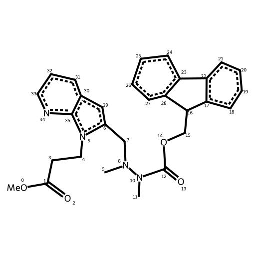 COC(=O)CCn1c(CN(C)N(C)C(=O)OCC2c3ccccc3-c3ccccc32)cc2cccnc21